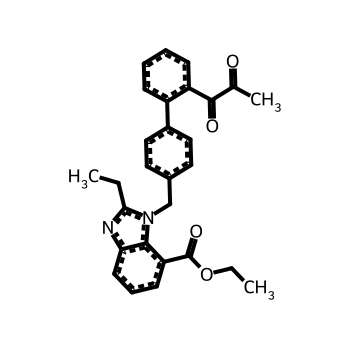 CCOC(=O)c1cccc2nc(CC)n(Cc3ccc(-c4ccccc4C(=O)C(C)=O)cc3)c12